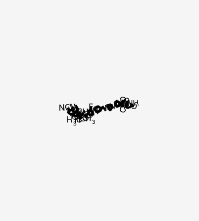 CC1(C)C(NC(=O)c2ccc(N3CCC(CCN4CCN(c5ccc6c(c5)C(=O)N(C5CCC(=O)NC5=O)C6=O)CC4)CC3)c(F)c2)C2(C)c3ccnc4c(C#N)ccc(c34)O[C@@H]12